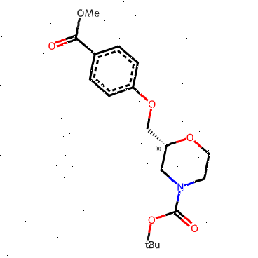 COC(=O)c1ccc(OC[C@H]2CN(C(=O)OC(C)(C)C)CCO2)cc1